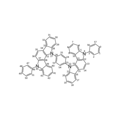 c1ccc(-n2c3ccccc3c3c2ccc2c4ccccc4n(-c4ccc(-n5c6ccccc6c6ccc7c(c8ccccc8n7-c7ccccc7)c65)cc4)c23)cc1